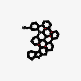 CC(C)(C)c1ccc(-c2ccccc2)c(N(c2cccc(-c3cccc4sc5ccccc5c34)c2)c2ccccc2-c2cccc3cccc(-c4ccccc4)c23)c1